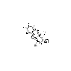 Cc1ccc2c(c1)Oc1c(C)cc(Cl)c(C)c1S2